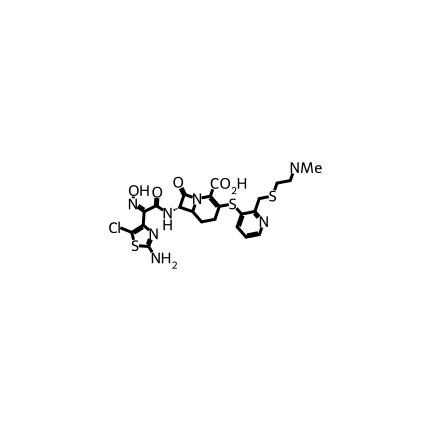 CNCCSCc1ncccc1SC1=C(C(=O)O)N2C(=O)[C@@H](NC(=O)/C(=N\O)c3nc(N)sc3Cl)C2CC1